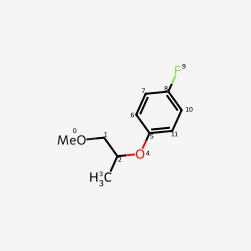 COCC(C)Oc1ccc(F)cc1